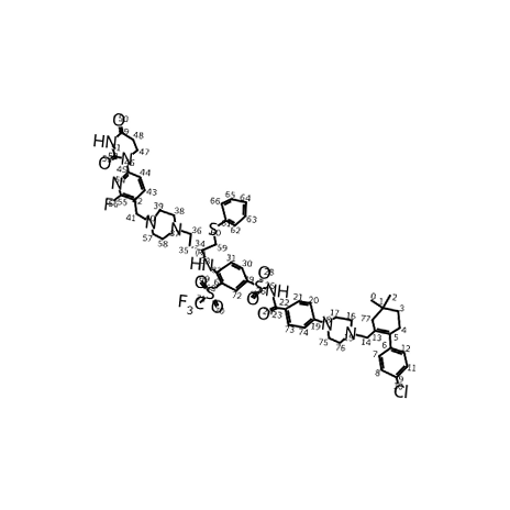 CC1(C)CCC(c2ccc(Cl)cc2)=C(CN2CCN(c3ccc(C(=O)NS(=O)(=O)c4ccc(N[C@H](CCN5CCN(Cc6ccc(N7CCC(=O)NC7=O)nc6F)CC5)CSc5ccccc5)c(S(=O)(=O)C(F)(F)F)c4)cc3)CC2)C1